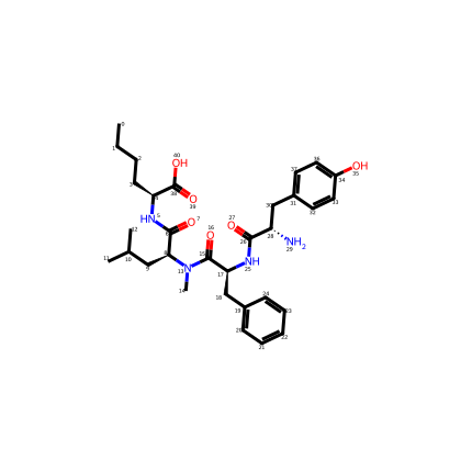 CCCC[C@H](NC(=O)[C@H](CC(C)C)N(C)C(=O)[C@H](Cc1ccccc1)NC(=O)[C@@H](N)Cc1ccc(O)cc1)C(=O)O